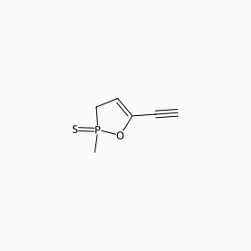 C#CC1=CCP(C)(=S)O1